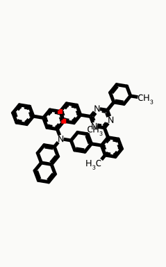 CC1=C(c2c(C)cccc2-c2nc(C3=CC(C)CC=C3)nc(-c3ccccc3)n2)C=CC(N(C2=CCC3C=CC=CC3=C2)c2cccc(-c3ccccc3)c2)C1